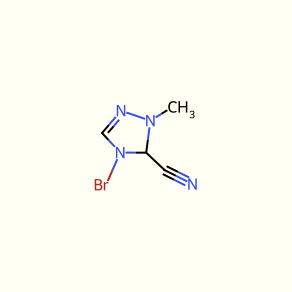 CN1N=CN(Br)C1C#N